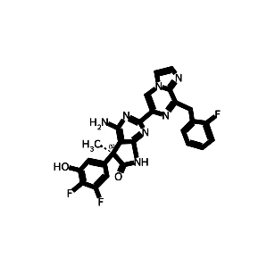 C[C@@]1(c2cc(O)c(F)c(F)c2)C(=O)Nc2nc(-c3cn4ccnc4c(Cc4ccccc4F)n3)nc(N)c21